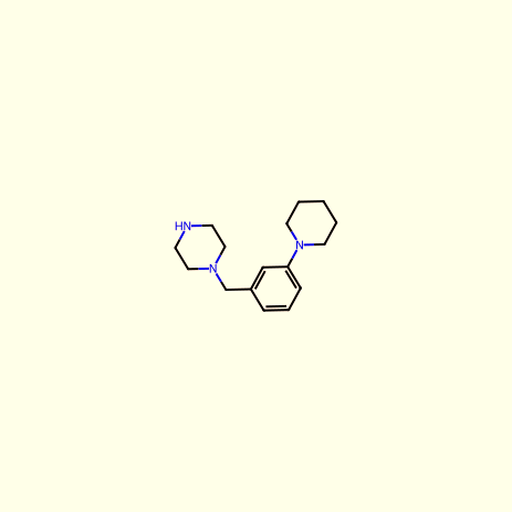 c1cc(CN2CCNCC2)cc(N2CCCCC2)c1